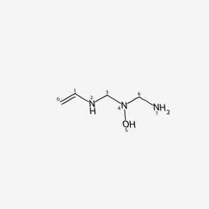 C=CNCN(O)CN